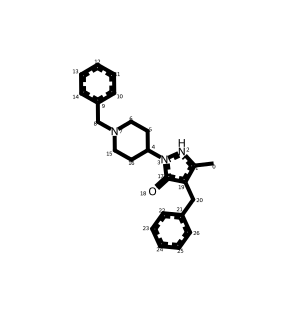 Cc1[nH]n(C2CCN(Cc3ccccc3)CC2)c(=O)c1Cc1ccccc1